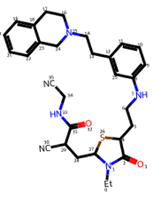 CCN1C(=O)C(CCNc2cccc(CCN3CCc4ccccc4C3)c2)SC1CC(C#N)C(=O)NCC#N